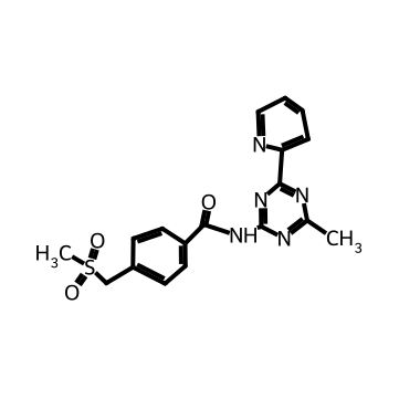 Cc1nc(NC(=O)c2ccc(CS(C)(=O)=O)cc2)nc(-c2ccccn2)n1